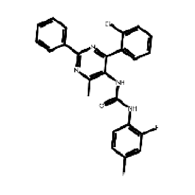 Cc1nc(-c2ccccc2)nc(-c2ccccc2Cl)c1NC(=O)Nc1ccc(F)cc1F